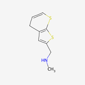 CNCc1cc2c(s1)SC=CC2